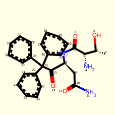 C[C@@H](O)[C@H](N)C(=O)N[C@@H](CC(N)=O)C(=O)C(c1ccccc1)(c1ccccc1)c1ccccc1